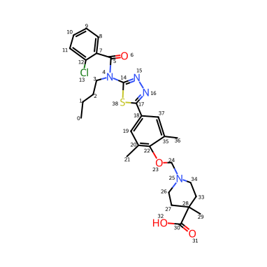 CCCCN(C(=O)c1ccccc1Cl)c1nnc(-c2cc(C)c(OCN3CCC(C)(C(=O)O)CC3)c(C)c2)s1